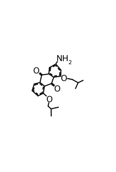 CC(C)COc1cccc2c1C(=O)c1c(OCC(C)C)cc(N)cc1C2=O